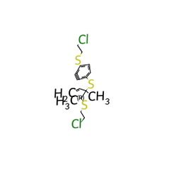 C=CC(C)(Sc1c#cc(SCCCl)cc1)[C@@H](C)SCCCl